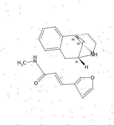 CNC(=O)/C=C/c1ccoc1.c1ccc2c(c1)C[C@H]1NCC[C@@]23CCCC[C@@H]13